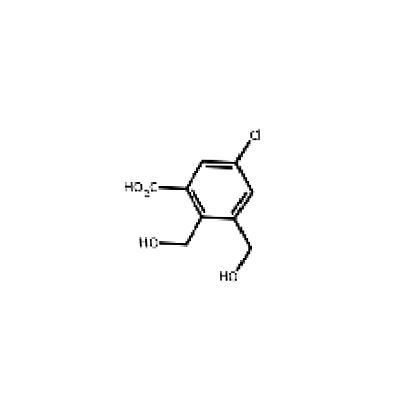 O=C(O)c1cc(Cl)cc(CO)c1CO